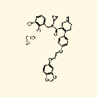 O=C(C1=C(c2ccc(OCCOc3ccc4c(c3)OCO4)cc2)CCNC1)N(Cc1cccc(Cl)c1Cl)C1CC1.O=CO